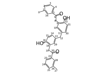 Cc1cccc(C(=O)Cc2cc(Cc3ccc(O)c(CC(=O)c4cccc(C)c4)c3)ccc2O)c1